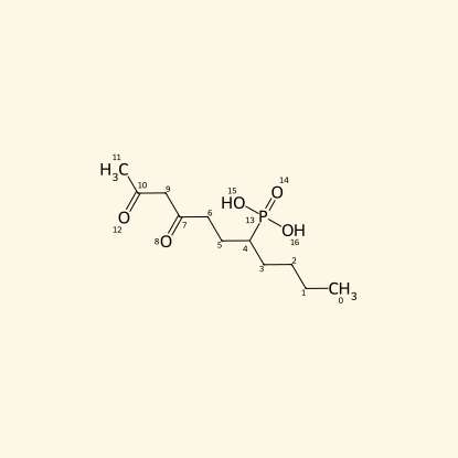 CCCCC(CCC(=O)CC(C)=O)P(=O)(O)O